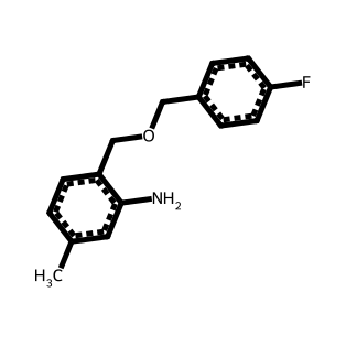 Cc1ccc(COCc2ccc(F)cc2)c(N)c1